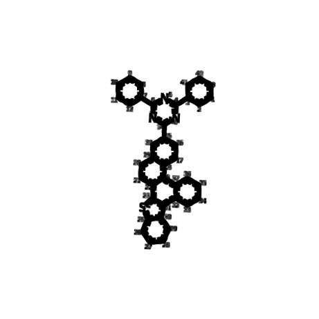 c1ccc(-c2nc(-c3ccccc3)nc(-c3ccc4c(ccc5c6sc7ccccc7c6c6ccccc6c45)c3)n2)cc1